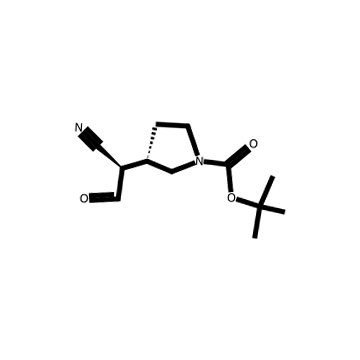 CC(C)(C)OC(=O)N1CC[C@@H]([C@H](C#N)C=O)C1